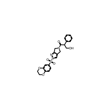 O=C(C(CO)c1ccccc1)N1Cc2cn(S(=O)(=O)c3ccc4c(c3)OCCO4)nc2C1